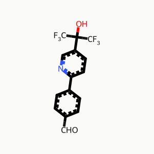 O=Cc1ccc(-c2ccc(C(O)(C(F)(F)F)C(F)(F)F)cn2)cc1